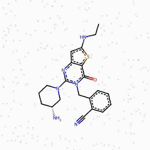 CCNc1cc2nc(N3CCC[C@@H](N)C3)n(Cc3ccccc3C#N)c(=O)c2s1